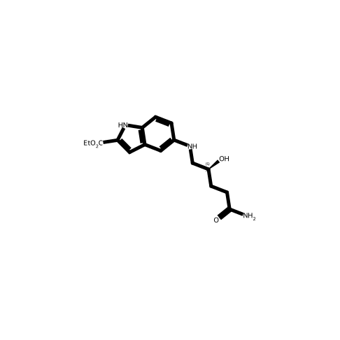 CCOC(=O)c1cc2cc(NC[C@@H](O)CCC(N)=O)ccc2[nH]1